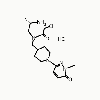 C[C@H](N)CN(CC1CCN(c2ccc(=O)n(C)n2)CC1)C(=O)CCl.Cl